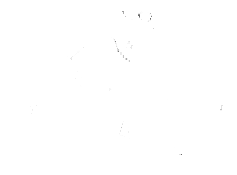 C[C@]1(C(=O)O)Cc2ccc(I)cc2[C@H]1c1cccc(Br)c1